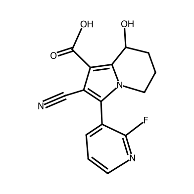 N#Cc1c(C(=O)O)c2n(c1-c1cccnc1F)CCCC2O